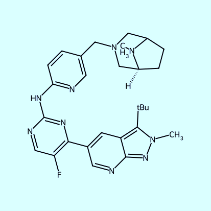 CN1C2CC[C@H]1CN(Cc1ccc(Nc3ncc(F)c(-c4cnc5nn(C)c(C(C)(C)C)c5c4)n3)nc1)C2